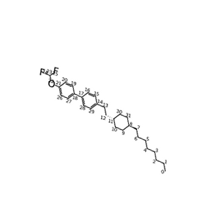 CCCCCCCC[C@H]1CC[C@H](CCc2ccc(-c3ccc(OC(F)F)cc3)cc2)CC1